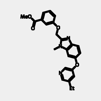 CCc1cncc(Oc2ccc3nc(COc4cccc(C(=O)OC)c4)n(C)c3c2)c1